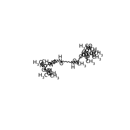 CCCOc1cc(OCCCCN(C)CC(=O)NCCCCCCCC(=O)NCCN2CCN(c3ccc(-c4cc(C(=O)NCc5c(C)cc(C)[nH]c5=O)c5cnn(C(C)C)c5c4)cn3)CC2)cc(Oc2cc3c(cc2N[S+]([O-])c2ccc(OC)c(OC)c2)n(C)c(=O)n3C)c1